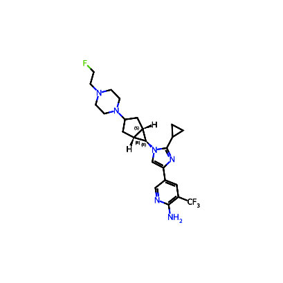 Nc1ncc(-c2cn([C@H]3[C@@H]4CC(N5CCN(CCF)CC5)C[C@@H]43)c(C3CC3)n2)cc1C(F)(F)F